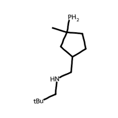 CC(C)(C)CNCC1CCC(C)(P)C1